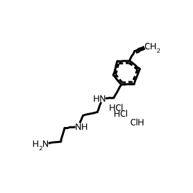 C=Cc1ccc(CNCCNCCN)cc1.Cl.Cl.Cl